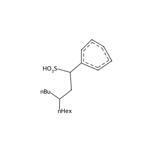 CCCCCCC(CCCC)CC(c1ccccc1)S(=O)(=O)O